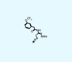 CN/N=C(/NC(=O)Cc1cccc(OC(F)(F)F)c1)SN=[N+]=[N-]